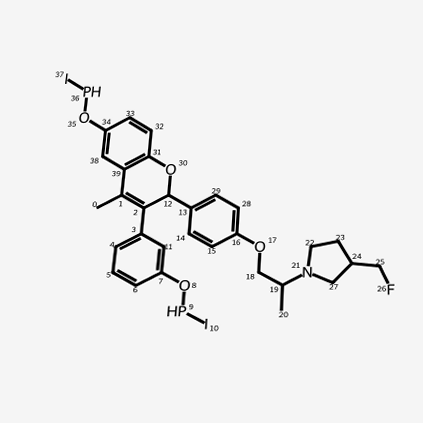 CC1=C(c2cccc(OPI)c2)C(c2ccc(OCC(C)N3CCC(CF)C3)cc2)Oc2ccc(OPI)cc21